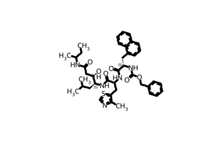 CCC(C)NC(=O)C[C@H](O)[C@H](CC(C)C)NC(=O)C(Cc1scnc1C)NC(=O)[C@H](Cc1cccc2ccccc12)NC(=O)OCc1ccccc1